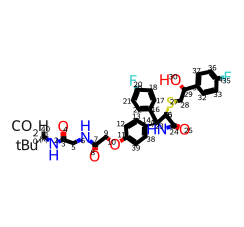 CC(C)(C)[C@@H](NC(=O)CNC(=O)COc1ccc([C@]2(c3ccc(F)cc3)NC(=O)[C@@H]2SCC(O)c2ccc(F)cc2)cc1)C(=O)O